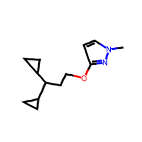 Cn1ccc(OCCC(C2CC2)C2CC2)n1